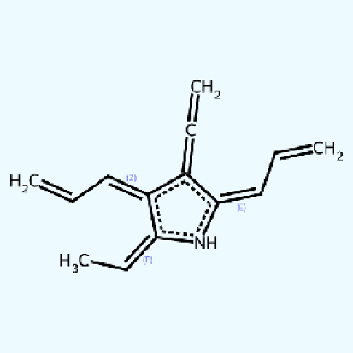 C=C=c1c(=C/C=C)/c(=C\C)[nH]/c1=C/C=C